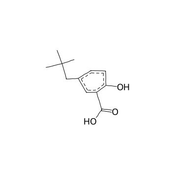 CC(C)(C)Cc1ccc(O)c(C(=O)O)c1